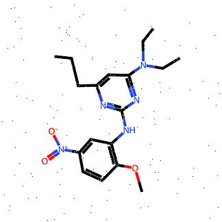 CCCc1cc(N(CC)CC)nc(Nc2cc([N+](=O)[O-])ccc2OC)n1